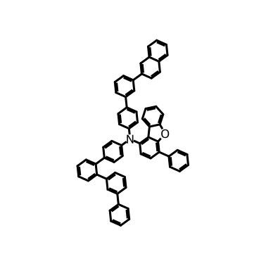 c1ccc(-c2cccc(-c3ccccc3-c3ccc(N(c4ccc(-c5cccc(-c6ccc7ccccc7c6)c5)cc4)c4ccc(-c5ccccc5)c5oc6ccccc6c45)cc3)c2)cc1